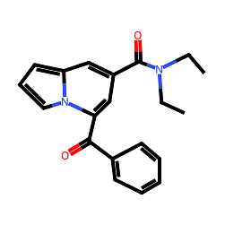 CCN(CC)C(=O)c1cc(C(=O)c2ccccc2)n2cccc2c1